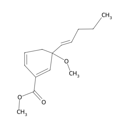 CCCC=CC1(OC)C=C(C(=O)OC)C=CC1